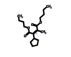 CCCCOC(=O)/C(C)=C(\C(=O)OCCCC)C1CCCC1